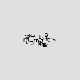 CCOC(=O)c1cn(C2CCC(F)(F)CC2)nc1Br